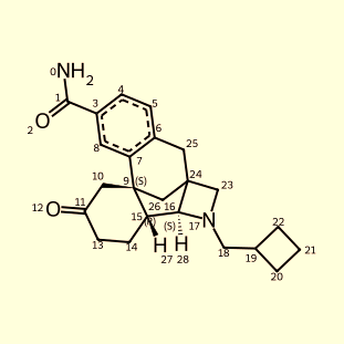 NC(=O)c1ccc2c(c1)[C@@]13CC(=O)CC[C@H]1[C@@H]1N(CC4CCC4)CC1(C2)C3